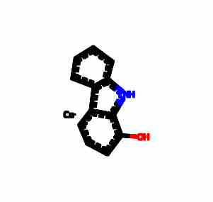 Oc1cccc2c1[nH]c1ccccc12.[Co]